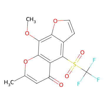 COc1c2occc2c(S(=O)(=O)C(F)(F)F)c2c(=O)cc(C)oc12